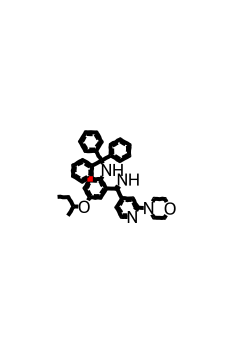 CCC(C)Oc1ccc(NC(c2ccccc2)(c2ccccc2)c2ccccc2)c(C(=N)c2ccnc(N3CCOCC3)c2)c1